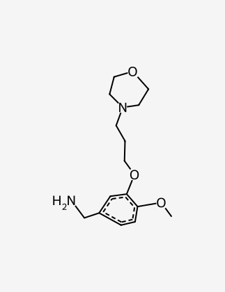 COc1ccc(CN)cc1OCCCN1CCOCC1